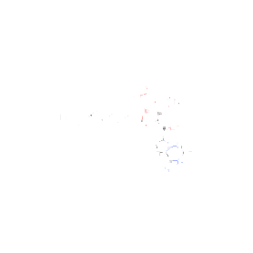 CC(C)OC(=O)OC[C@@H](OC#N)[C@@H](OC(=O)CCCCCCC(=O)O)[C@@H](O)c1ccc2c(N)ncnn12